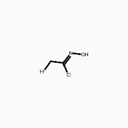 CCCC(Cl)=NO